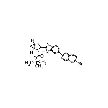 CC(C)(C)OC(=O)N1[C@@H]2C[C@@H]2C[C@H]1c1nc2ccc(-c3ccc4cc(Br)ccc4c3)cc2[nH]1